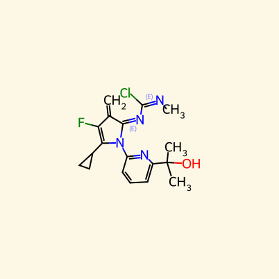 C=C1C(F)=C(C2CC2)N(c2cccc(C(C)(C)O)n2)/C1=N/C(Cl)=N\C